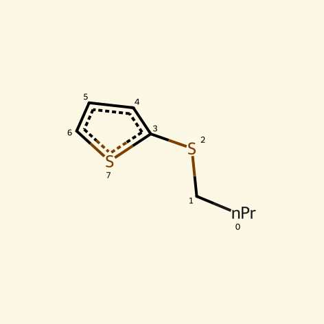 CCCCSc1cccs1